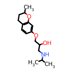 CC(C)NCC(O)COc1ccc2c(c1)OC(C)CC2